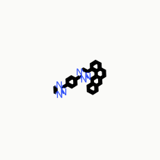 c1ccc2cc3c(ccc4cccc(-c5cnc(-c6ccc(-c7nccnn7)cc6)nn5)c43)cc2c1